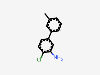 Cc1cc[c]c(-c2ccc(Cl)c(N)c2)c1